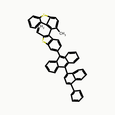 C=Cc1sc2cc(-c3c4ccccc4c(-c4ccc(-c5ccccc5)c5ccccc45)c4ccccc34)ccc2c1-c1c(C)ccc2sc3ccccc3c12